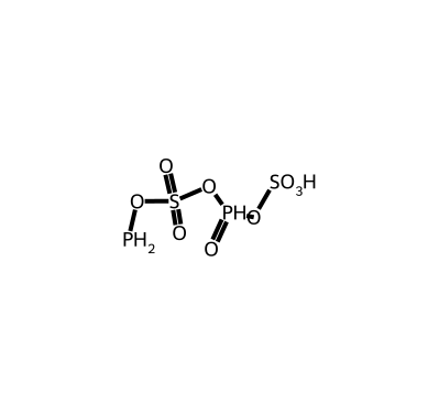 O=[PH](OS(=O)(=O)O)OS(=O)(=O)OP